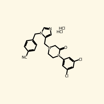 Cl.Cl.N#Cc1ccc(Cn2cncc2CN2CCN(c3cc(Cl)cc(Cl)c3)C(=O)C2)cc1